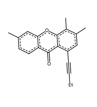 CCC#Cc1cc(C)c(C)c2oc3cc(C)ccc3c(=O)c12